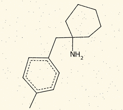 Cc1ccc(CC2(N)CCCCC2)cc1